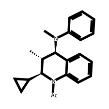 CC(=O)N1c2ccccc2[C@H](N(C)c2ccccc2)[C@@H](C)[C@@H]1C1CC1